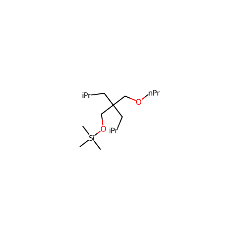 CCCOCC(CO[Si](C)(C)C)(CC(C)C)CC(C)C